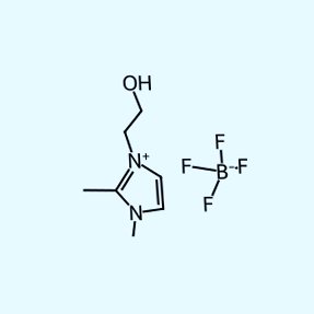 Cc1n(C)cc[n+]1CCO.F[B-](F)(F)F